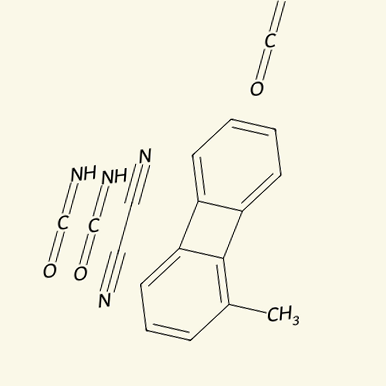 Cc1cccc2c1-c1ccccc1-2.N#CC#N.N=C=O.N=C=O.N=C=O